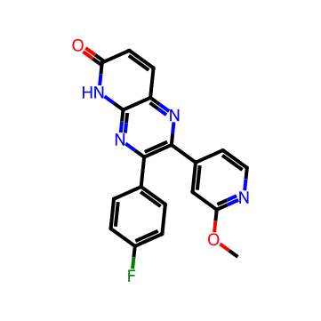 COc1cc(-c2nc3ccc(=O)[nH]c3nc2-c2ccc(F)cc2)ccn1